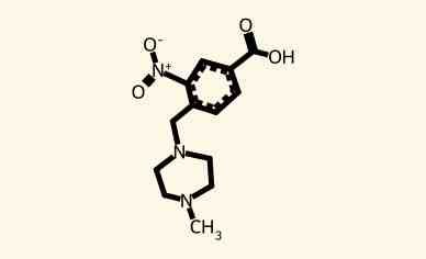 CN1CCN(Cc2ccc(C(=O)O)cc2[N+](=O)[O-])CC1